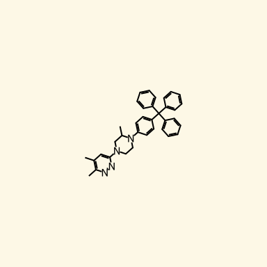 Cc1cc(N2CCN(c3ccc(C(c4ccccc4)(c4ccccc4)c4ccccc4)cc3)C(C)C2)nnc1C